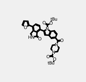 CC(C)(C)OC(=O)N1CCN(C(=O)c2ccc3c(c2)cc(-c2ccc(-c4ccco4)c4c2C(=O)NC4)n3C(=O)OC(C)(C)C)CC1